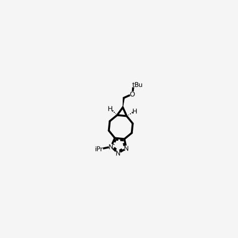 CC(C)n1nnc2c1CC[C@@H]1[C@H](CC2)[C@@H]1COC(C)(C)C